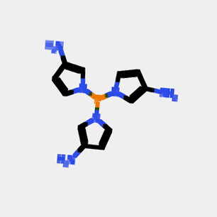 Nc1ccn(P(n2ccc(N)c2)n2ccc(N)c2)c1